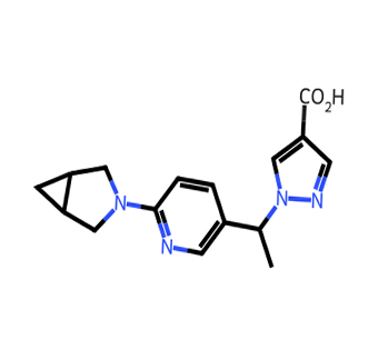 CC(c1ccc(N2CC3CC3C2)nc1)n1cc(C(=O)O)cn1